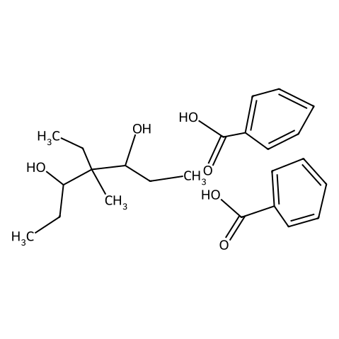 CCC(O)C(C)(CC)C(O)CC.O=C(O)c1ccccc1.O=C(O)c1ccccc1